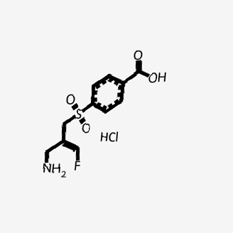 Cl.NCC(=CF)CS(=O)(=O)c1ccc(C(=O)O)cc1